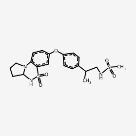 CC(CNS(C)(=O)=O)c1ccc(Oc2ccc3c(c2)S(=O)(=O)NC2CCCN32)cc1